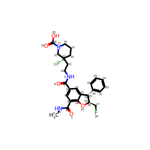 CNC(=O)c1cc(C(=O)NCC[C@]2(F)CCCN(C(=O)O)C2)cc2c1O[C@H](CF)[C@H]2c1ccccc1